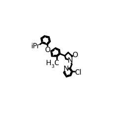 Cc1cc(Oc2ccccc2C(C)C)ccc1C1CC(=O)N(Cc2ncccc2Cl)C1